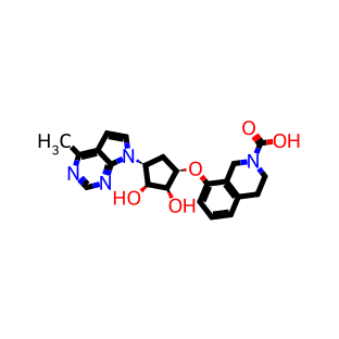 Cc1ncnc2c1ccn2[C@@H]1C[C@H](Oc2cccc3c2CN(C(=O)O)CC3)[C@@H](O)[C@H]1O